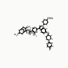 COC1CCC(n2cc(-c3ncc(C(=O)NC4(C(=O)O)C(C)CC5CC(C)CC4C5)c(C(F)(F)F)n3)c3ccc(OC4CCN(c5ncc(F)cn5)CC4)cc32)CC1